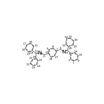 c1ccc(C(=NCc2ccc(CN=C(c3ccccc3)c3ccccc3)cc2)c2ccccc2)cc1